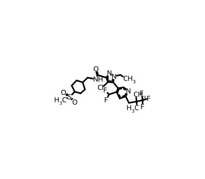 CCn1nc(C(=O)NCC2CCC(S(C)(=O)=O)CC2)c(Cl)c1-c1cnc(CC(C)(C)C(F)(F)F)cc1C(F)F